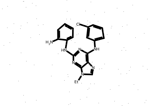 CCn1cnc2c(Nc3cccc(Cl)c3)nc(Nc3ccccc3N)nc21